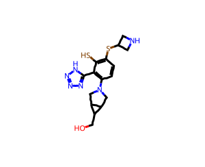 OCC1C2CN(c3ccc(SC4CNC4)c(S)c3-c3nnn[nH]3)CC12